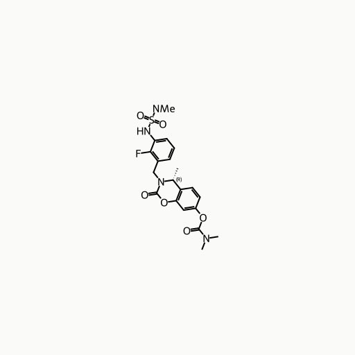 CNS(=O)(=O)Nc1cccc(CN2C(=O)Oc3cc(OC(=O)N(C)C)ccc3[C@H]2C)c1F